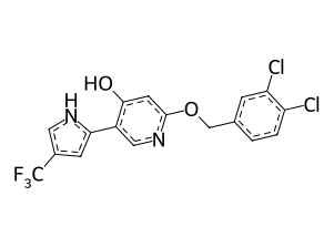 Oc1cc(OCc2ccc(Cl)c(Cl)c2)ncc1-c1cc(C(F)(F)F)c[nH]1